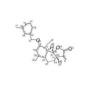 C=C1C(=O)O[C@H]2c3c(C)c(OCc4cccc(C)c4)cc(C)c3CC[C@@H]12